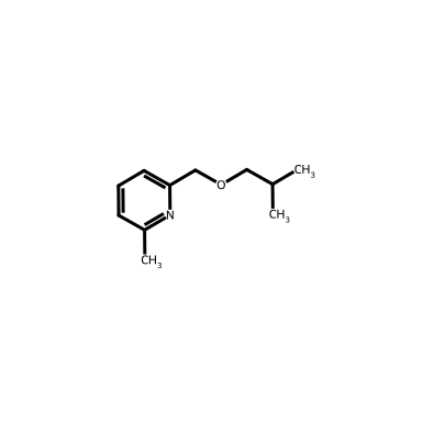 Cc1cccc(COCC(C)C)n1